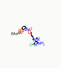 CNS(=O)(=O)c1cccc(CNC(=O)OCCCCn2cnc3c2C(Cl)N=C3N)c1